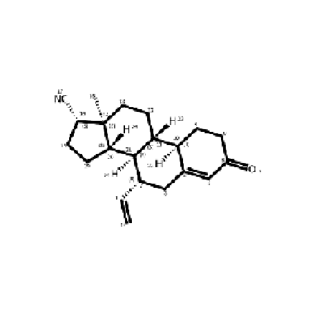 C=C[C@H]1CC2=CC(=O)CC[C@@H]2[C@H]2CC[C@]3(C)[C@@H](C#N)CC[C@H]3[C@@H]21